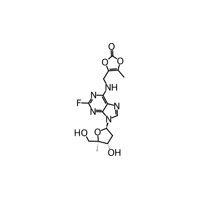 Cc1oc(=O)oc1CNc1nc(F)nc2c1ncn2[C@H]1C[C@H](O)[C@@](C)(CO)O1